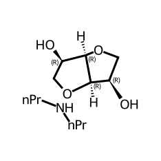 CCCNCCC.O[C@@H]1CO[C@H]2[C@@H]1OC[C@H]2O